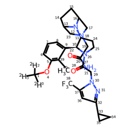 [2H]C([2H])([2H])Oc1cccc([C@H]2[C@@H](N3C4CCC3CN(CC(N)=O)C4)CCN2C(=O)Cn2nc(C3CC3)cc2C(F)(F)F)c1C